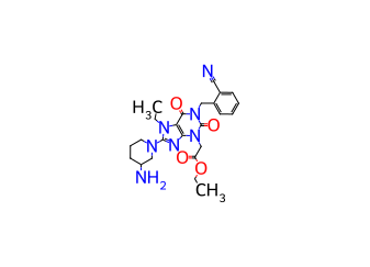 CCOC(=O)Cn1c(=O)n(Cc2ccccc2C#N)c(=O)c2c1nc(N1CCCC(N)C1)n2CC